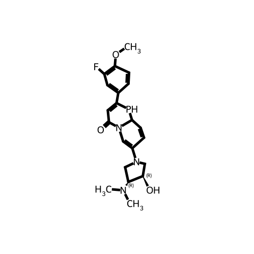 COc1ccc(C2=CC(=O)N3C=C(N4C[C@@H](O)[C@H](N(C)C)C4)C=CC3P2)cc1F